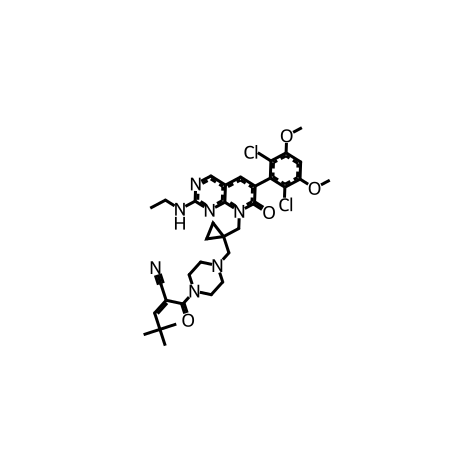 CCNc1ncc2cc(-c3c(Cl)c(OC)cc(OC)c3Cl)c(=O)n(CC3(CN4CCN(C(=O)/C(C#N)=C\C(C)(C)C)CC4)CC3)c2n1